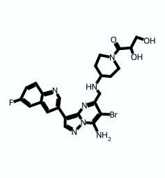 Nc1c(Br)c(CNC2CCN(C(=O)C(O)CO)CC2)nc2c(-c3cnc4ccc(F)cc4c3)cnn12